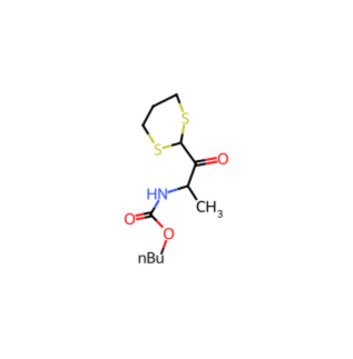 CCCCOC(=O)NC(C)C(=O)C1SCCCS1